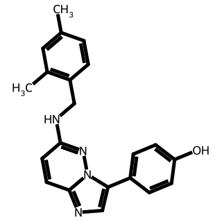 Cc1ccc(CNc2ccc3ncc(-c4ccc(O)cc4)n3n2)c(C)c1